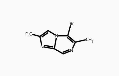 Cc1ncc2nc(C(F)(F)F)cn2c1Br